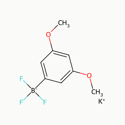 COc1cc(OC)cc([B-](F)(F)F)c1.[K+]